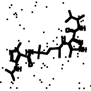 Cc1[nH]nc(C(=O)NC(C)C(C)C)c1NC(C)CCC(C)(C)NC(=O)c1c(NC(C)C)cnn1C